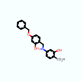 O=C(O)c1ccc(NCc2ccc(OCc3ccccc3)cc2O)cc1O